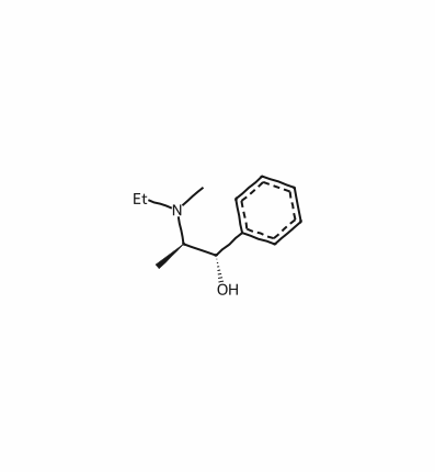 CCN(C)[C@H](C)[C@@H](O)c1ccccc1